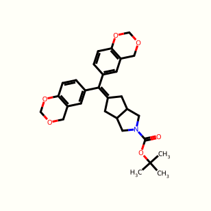 CC(C)(C)OC(=O)N1CC2CC(=C(c3ccc4c(c3)COCO4)c3ccc4c(c3)COCO4)CC2C1